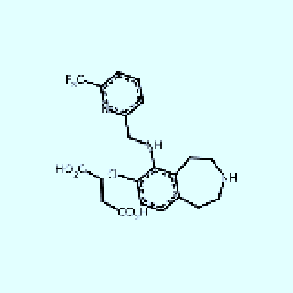 FC(F)(F)c1cccc(CNc2c(Cl)ccc3c2CCNCC3)n1.O=C(O)CCC(=O)O